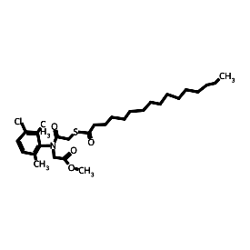 CCCCCCCCCCCCCCCC(=O)SCC(=O)N(CC(=O)OC)c1c(C)ccc(Cl)c1C